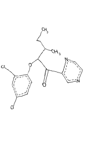 CCC(C)C(Oc1ccc(Cl)cc1Cl)C(=O)c1cnccn1